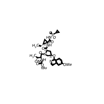 C=C[C@@H]1C[C@]1(NC(=O)[C@@H]1C[C@@H](Oc2nccc3cc(OC)ccc23)CN1C(=O)C(NC(=O)OC(C)(C)C)[C@@H](C)OC)C(=O)NS(=O)(=O)C1CC1